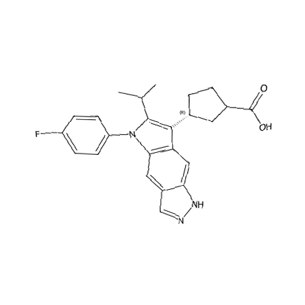 CC(C)c1c([C@@H]2CCC(C(=O)O)C2)c2cc3[nH]ncc3cc2n1-c1ccc(F)cc1